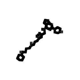 c1cc2c(NCc3cn(CCCNCCCNC4CCCCC4)nn3)nc(N3CCNCC3)nc2s1